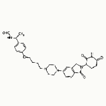 C[C@H](NC=O)c1ccc(OCCCCN2CCN(c3ccc4c(c3)CN(C3CCC(=O)NC3=O)C4=O)CC2)cc1